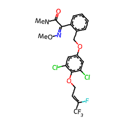 CNC(=O)C(=NOC)c1ccccc1COc1cc(Cl)c(OCC=C(F)C(F)(F)F)c(Cl)c1